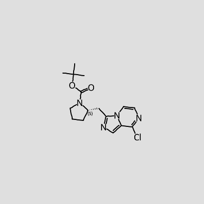 CC(C)(C)OC(=O)N1CCC[C@H]1Cc1ncc2c(Cl)nccn12